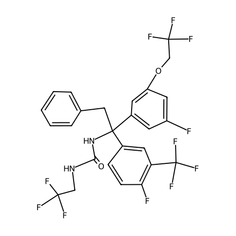 O=C(NCC(F)(F)F)NC(Cc1ccccc1)(c1cc(F)cc(OCC(F)(F)F)c1)c1ccc(F)c(C(F)(F)F)c1